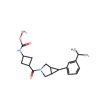 COC(=O)NC1CC(C(=O)N2CC3C(C2)C3c2cccc(C(C)C)c2)C1